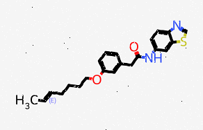 C/C=C/CCCCOc1cccc(CC(=O)Nc2ccc3ncsc3c2)c1